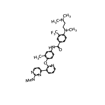 CNc1nccc(-c2cccnc2Oc2ccc(NC(=O)c3ccc(N(C)CCN(C)C)c(C(F)(F)F)c3)cc2C)n1